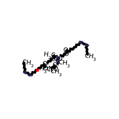 C=C(/C=C(\C=C(/C)COC(=O)CN(C)C)OCCCOC(=O)CCCCCCC/C=C\C/C=C\CCCCC)OCCCCOC(=O)CCCCCCC/C=C\C/C=C\CCCCC